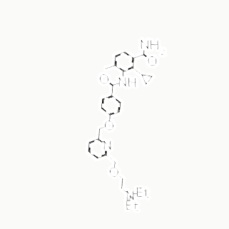 CCN(CC)CCOCc1cccc(COc2ccc(C(=O)Nc3c(C)ccc(C(N)=O)c3C3CC3)cc2)n1